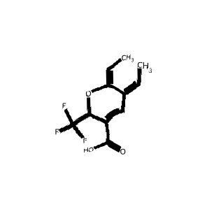 C/C=C1/C=C(C(=O)O)C(C(F)(F)F)O/C1=C/C